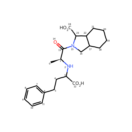 C[C@H](NC(CCc1ccccc1)C(=O)O)C(=O)N1CC2CCCCC2C1C(=O)O